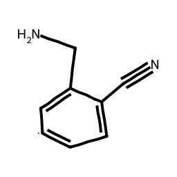 N#Cc1cc[c]cc1CN